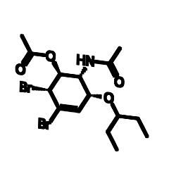 CCC(CC)O[C@@H]1C=C(Br)[C@H](Br)[C@@H](OC(C)=O)[C@@H]1NC(C)=O